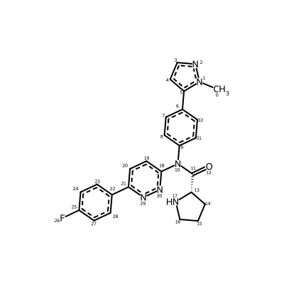 Cn1nccc1-c1ccc(N(C(=O)[C@@H]2CCCN2)c2ccc(-c3ccc(F)cc3)nn2)cc1